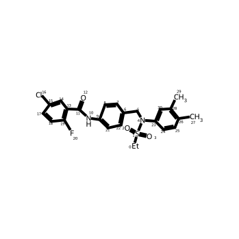 CCS(=O)(=O)N(Cc1ccc(NC(=O)c2cc(Cl)ccc2F)cc1)c1ccc(C)c(C)c1